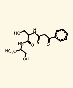 O=C(CC(=S)NC(CO)C(=O)NC(CO)C(=O)O)c1ccccc1